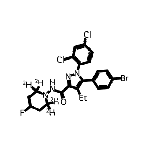 [2H]C1([2H])CC(F)CC([2H])([2H])N1NC(=O)c1nn(-c2ccc(Cl)cc2Cl)c(-c2ccc(Br)cc2)c1CC